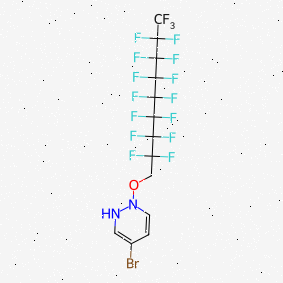 FC(F)(F)C(F)(F)C(F)(F)C(F)(F)C(F)(F)C(F)(F)C(F)(F)C(F)(F)CON1C=CC(Br)=CN1